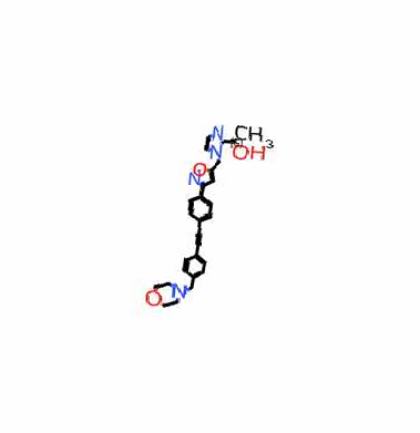 C[C@H](O)c1nccn1Cc1cc(-c2ccc(C#Cc3ccc(CN4CCOCC4)cc3)cc2)no1